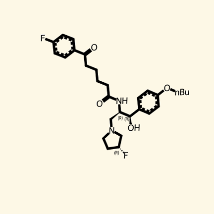 CCCCOc1ccc([C@@H](O)[C@@H](CN2CC[C@@H](F)C2)NC(=O)CCCCC(=O)c2ccc(F)cc2)cc1